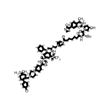 Cc1ncsc1-c1ccc([C@H](C)NC(=O)[C@@H]2C[C@@H](O)CN2C(=O)[C@@H](NC(=O)CCCCCC(=O)N2CC3CC2CN3CC[C@H](CSc2ccccc2)Nc2ccc(S(=O)(=O)NC(=O)c3ccc(N4CCN(CC5=C(c6ccc(Cl)cc6)CCC(C)(C)C5)CC4)cc3)cc2S(=O)(=O)C(F)(F)F)C(C)(C)C)cc1